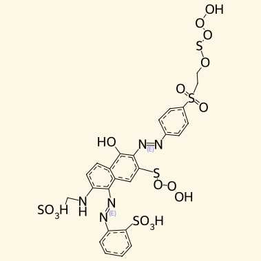 O=S(=O)(O)CNc1ccc2c(O)c(/N=N/c3ccc(S(=O)(=O)CCOSOOO)cc3)c(SOOO)cc2c1/N=N/c1ccccc1S(=O)(=O)O